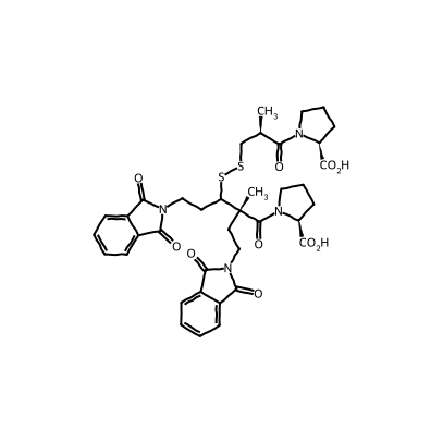 C[C@H](CSSC(CCN1C(=O)c2ccccc2C1=O)[C@@](C)(CCN1C(=O)c2ccccc2C1=O)C(=O)N1CCC[C@H]1C(=O)O)C(=O)N1CCC[C@H]1C(=O)O